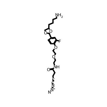 [N-]=[N+]=NCCCCC(=O)NCCOCCOc1ccc(C2OCC(CCCCN)O2)cc1F